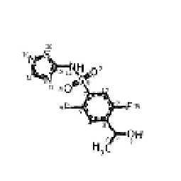 CC(O)c1cc(F)c(S(=O)(=O)Nc2ncns2)cc1F